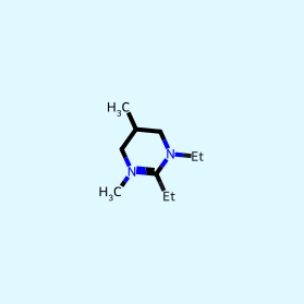 CCC1=[N+](C)CC(C)CN1CC